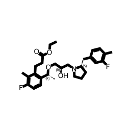 CCOC(=O)CCc1c([C@@H](C)OC[C@H](O)CN2CCC[C@H]2Cc2ccc(C)c(F)c2)ccc(F)c1C